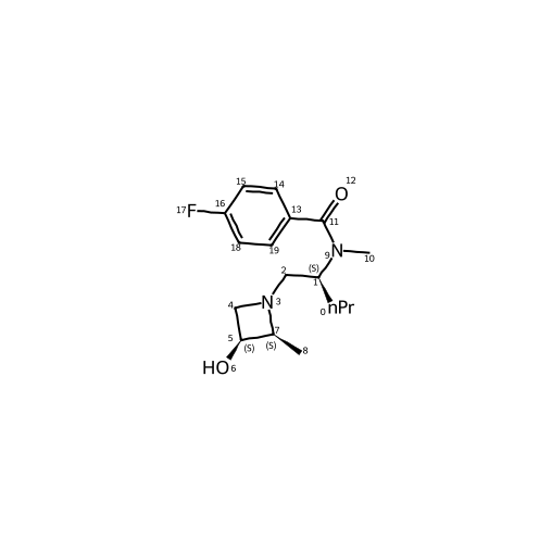 CCC[C@@H](CN1C[C@H](O)[C@@H]1C)N(C)C(=O)c1ccc(F)cc1